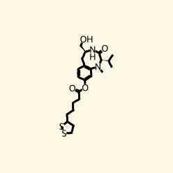 CC(C)[C@H]1C(=O)N[C@H](CO)Cc2ccc(OC(=O)CCCCC3CCSS3)cc2N1C